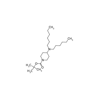 CCCCCCN(CCCCCC)C1CCN(C(=O)OC(C)(C)C)CC1